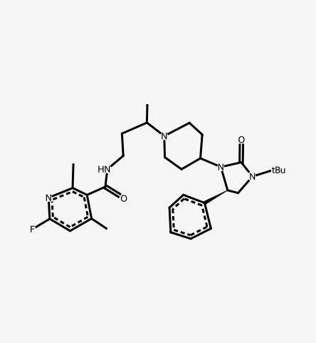 Cc1cc(F)nc(C)c1C(=O)NCCC(C)N1CCC(N2C(=O)N(C(C)(C)C)C[C@H]2c2ccccc2)CC1